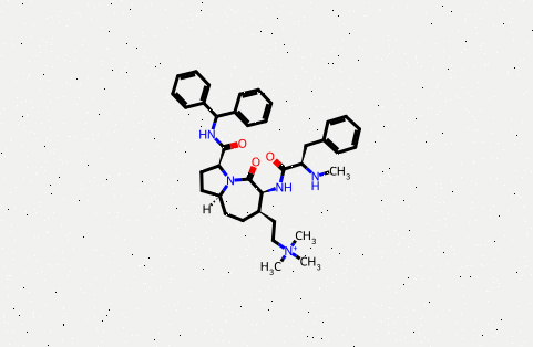 CN[C@H](Cc1ccccc1)C(=O)N[C@@H]1C(=O)N2[C@@H](CC[C@@H]1CC[N+](C)(C)C)CC[C@H]2C(=O)NC(c1ccccc1)c1ccccc1